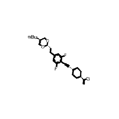 C=C(Cl)[C@H]1CC[C@H](C#Cc2c(F)cc(CC[C@H]3OC[C@H](CCCC)CO3)cc2F)CC1